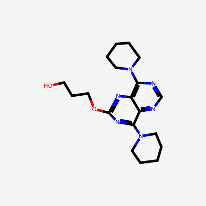 OCCCOc1nc(N2CCCCC2)c2ncnc(N3CCCCC3)c2n1